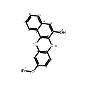 CC(C)Oc1ccc2c(c1)Oc1c(c(O)cc3ccccc13)O2